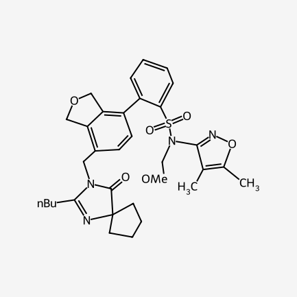 CCCCC1=NC2(CCCC2)C(=O)N1Cc1ccc(-c2ccccc2S(=O)(=O)N(COC)c2noc(C)c2C)c2c1COC2